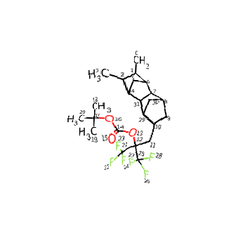 CC1C(C)C2CC1C1C3CC(CC(OC(=O)OC(C)(C)C)(C(F)(F)F)C(F)(F)F)C(C3)C21